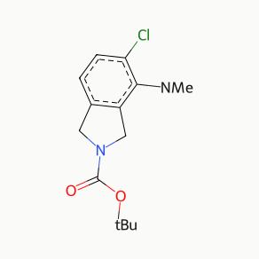 CNc1c(Cl)ccc2c1CN(C(=O)OC(C)(C)C)C2